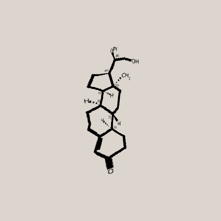 CCC[C@@H](O)[C@@H]1CC[C@@H]2[C@@H]3CCC4=CC(=O)CC[C@@H]4[C@H]3CC[C@@]21C